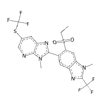 CCS(=O)(=O)c1cc2c(cc1-c1nc3cc(SC(F)(F)F)cnc3n1C)nc(C(F)(F)F)n2C